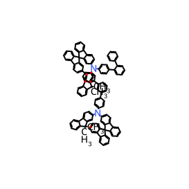 CC1(C)c2ccccc2-c2ccc(N(c3ccc(-c4cccc(-c5ccc(-c6ccc7c(c6)C6(c8ccccc8-7)c7ccccc7-c7ccc(N(c8ccc(-c9ccccc9-c9ccccc9)cc8)c8ccc9c(c8)C(C)(C)c8ccccc8-9)cc76)cc5)c4)cc3)c3ccc4c(c3)C3(c5ccccc5-c5ccccc53)c3ccccc3-4)cc21